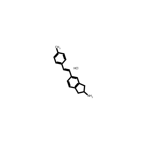 Cc1ccc(/C=C/c2ccc3c(c2)CC(N)C3)cc1.Cl